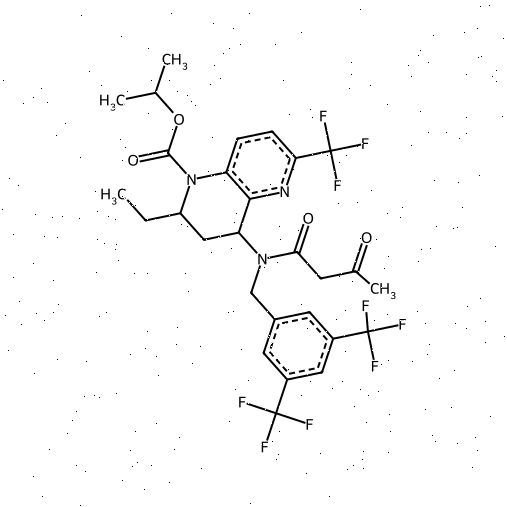 CCC1CC(N(Cc2cc(C(F)(F)F)cc(C(F)(F)F)c2)C(=O)CC(C)=O)c2nc(C(F)(F)F)ccc2N1C(=O)OC(C)C